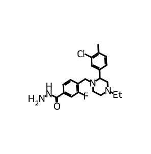 CCN1CCN(Cc2ccc(C(=O)NN)cc2F)C(c2ccc(C)c(Cl)c2)C1